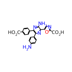 Nc1ccc(-c2nc(-c3cnc(C(=O)O)o3)c(N)nc2-c2ccc(C(=O)O)cc2)cc1